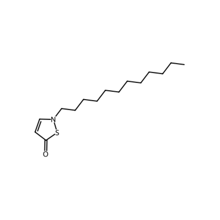 CCCCCCCCCCCCn1ccc(=O)s1